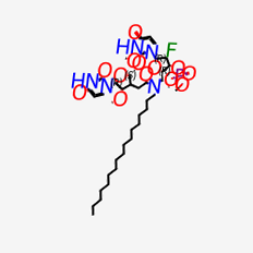 CCCCCCCCCCCCCCCCCN(C[C@H]1O[C@@H](n2ccc(=O)[nH]c2=O)C(F)C1OP(=O)(OC)OC)C(=O)CC1C(OC)[C@H](n2ccc(=O)[nH]c2=O)O[C@@H]1COC